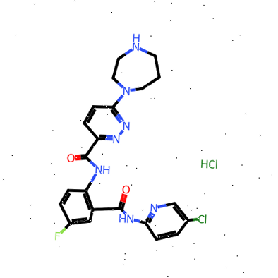 Cl.O=C(Nc1ccc(F)cc1C(=O)Nc1ccc(Cl)cn1)c1ccc(N2CCCNCC2)nn1